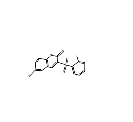 O=c1oc2ccc(Cl)cc2cc1S(=O)(=O)c1ccccc1F